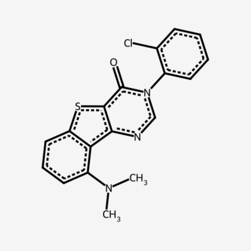 CN(C)c1cccc2sc3c(=O)n(-c4ccccc4Cl)cnc3c12